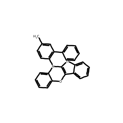 Cc1ccc(N2c3ccccc3Oc3c2oc2ccccc32)c(-c2ccccc2)c1